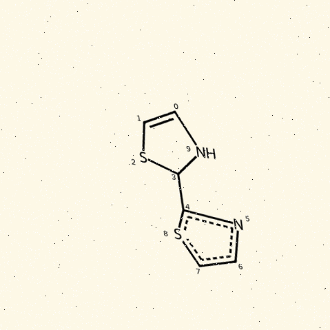 C1=CSC(c2nccs2)N1